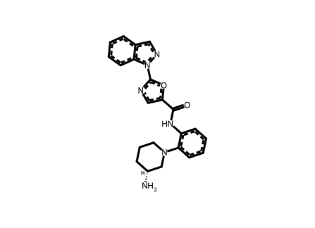 N[C@@H]1CCCN(c2ccccc2NC(=O)c2cnc(-n3ncc4ccccc43)o2)C1